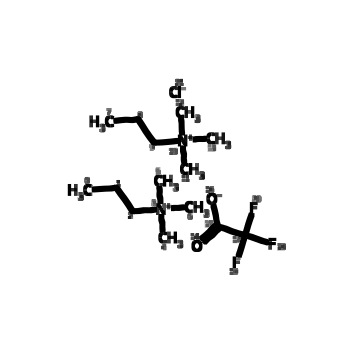 CCC[N+](C)(C)C.CCC[N+](C)(C)C.O=C([O-])C(F)(F)F.[Cl-]